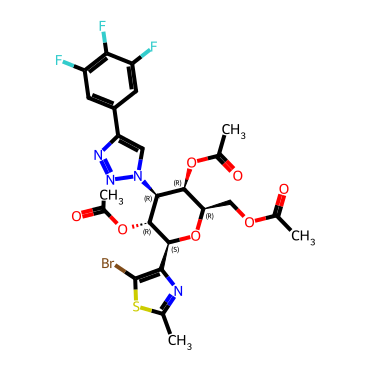 CC(=O)OC[C@H]1O[C@@H](c2nc(C)sc2Br)[C@H](OC(C)=O)[C@@H](n2cc(-c3cc(F)c(F)c(F)c3)nn2)[C@H]1OC(C)=O